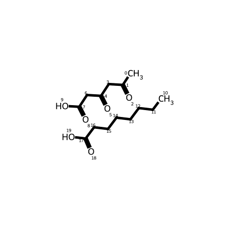 CC(=O)CC(=O)CC(=O)O.CCCCCCCC(=O)O